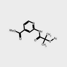 COC(=O)c1ccnc(NC(=O)C(C)(C)SC(C)=O)c1